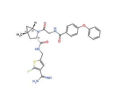 C[C@@]12C[C@@H]1N(C(=O)CNC(=O)c1ccc(Oc3ccccc3)cc1)[C@H](C(=O)NCc1cc(C(=N)N)c(F)s1)C2